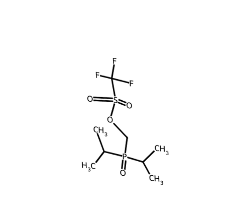 CC(C)P(=O)(COS(=O)(=O)C(F)(F)F)C(C)C